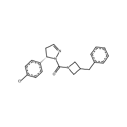 O=C(N1CC(Cc2ccccc2)C1)N1N=CC[C@H]1c1ccc(Cl)cc1